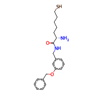 N[C@@H](CCCCCS)C(=O)NCc1cccc(OCc2ccccc2)c1